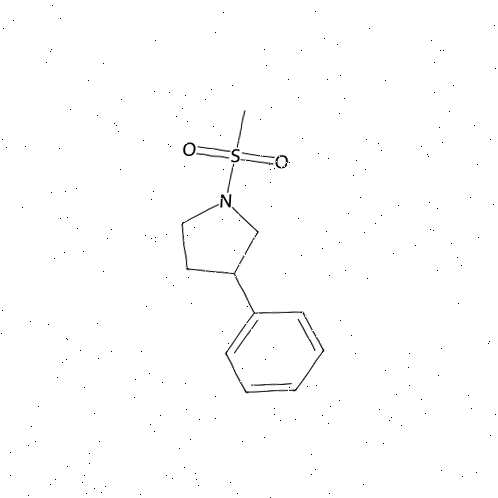 CS(=O)(=O)N1CCC(c2ccccc2)C1